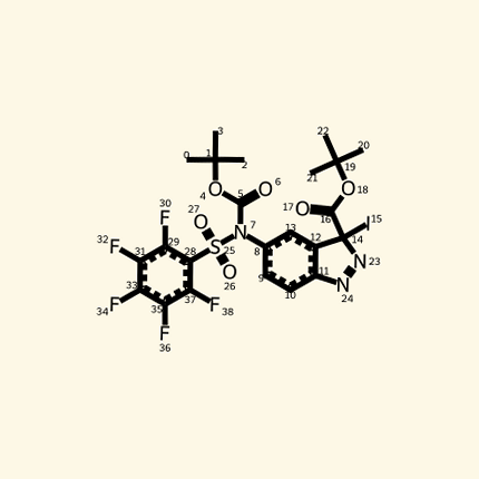 CC(C)(C)OC(=O)N(c1ccc2c(c1)C(I)(C(=O)OC(C)(C)C)N=N2)S(=O)(=O)c1c(F)c(F)c(F)c(F)c1F